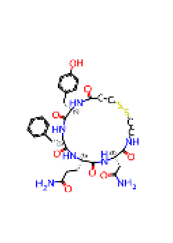 NC(=O)CC[C@@H]1NC(=O)[C@H](Cc2ccccc2)NC(=O)[C@H](Cc2ccc(O)cc2)NC(=O)CCSSCCNC(=O)[C@H](CC(N)=O)NC1=O